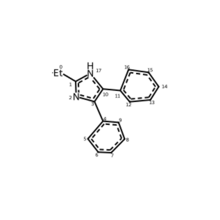 C[CH]c1nc(-c2ccccc2)c(-c2ccccc2)[nH]1